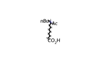 CCCC/C=C(\CCCCCCCC(=O)O)C(C)=O